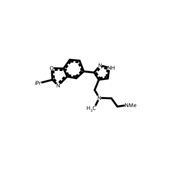 CNCCN(C)Cc1c[nH]nc1-c1ccc2oc(C(C)C)nc2c1